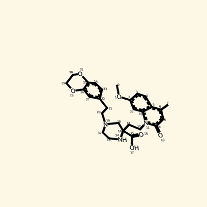 COc1ccc2c(C)cc(=O)n(CCC3(C(=O)O)CN(CCc4ccc5c(c4)OCCO5)CCN3)c2c1